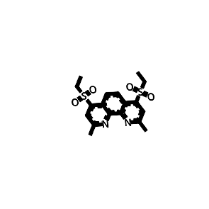 CCS(=O)(=O)c1cc(C)nc2c1ccc1c(S(=O)(=O)CC)cc(C)nc12